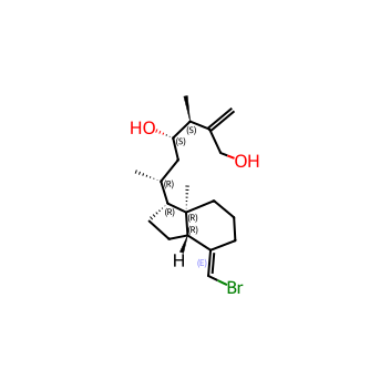 C=C(CO)[C@H](C)[C@@H](O)C[C@@H](C)[C@H]1CC[C@H]2/C(=C/Br)CCC[C@]12C